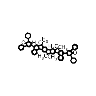 CC1(C)c2cc3c(cc2-c2cc4c(cc21)-c1c(cc(-c2cc(C5CCCCC5)c5oc6ccccc6c5c2)c2ccccc12)C4(C)C)C(C)(C)c1cc(-c2cc(C4CCCCC4)c4oc5ccccc5c4c2)c2ccccc2c1-3